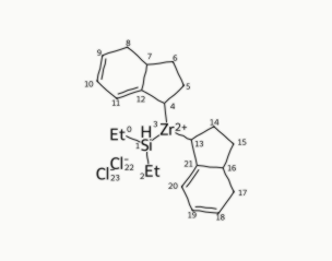 CC[SiH](CC)[Zr+2]([CH]1CCC2CC=CC=C21)[CH]1CCC2CC=CC=C21.[Cl-].[Cl-]